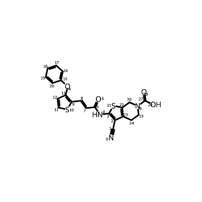 N#Cc1c(NC(=O)C=Cc2sccc2Oc2ccccc2)sc2c1CCN(C(=O)O)C2